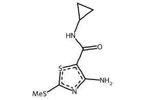 CSc1nc(N)c(C(=O)NC2CC2)s1